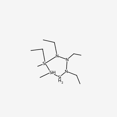 CCN1[SiH2][SiH](C)[Si](C)(CC)N(CC)N1CC